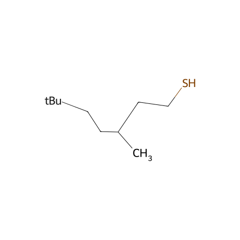 CC(CCS)CCC(C)(C)C